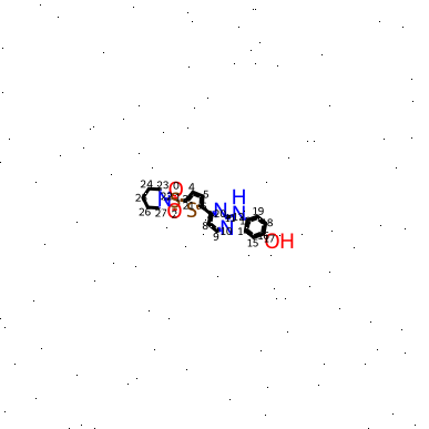 O=S(=O)(c1ccc(-c2ccnc(Nc3ccc(O)cc3)n2)s1)N1CCCCC1